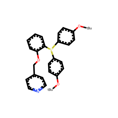 CC(C)(C)Oc1ccc([S+](c2ccc(OC(C)(C)C)cc2)c2ccccc2OCc2ccncc2)cc1